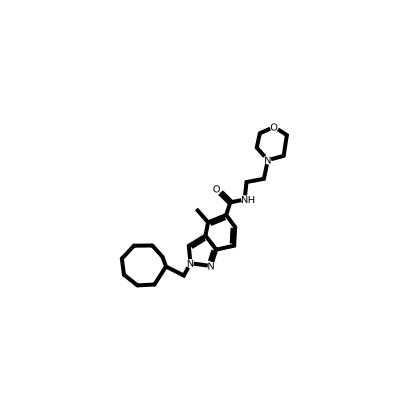 Cc1c(C(=O)NCCN2CCOCC2)ccc2nn(CC3CCCCCCC3)cc12